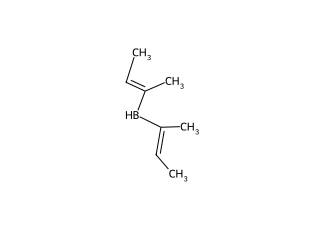 C/C=C(\C)B/C(C)=C/C